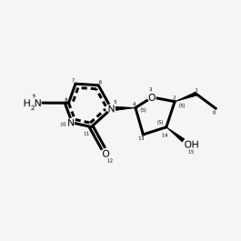 CC[C@@H]1O[C@H](n2ccc(N)nc2=O)C[C@@H]1O